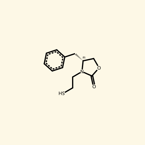 O=C1OC[C@@H](Cc2ccccc2)N1CCS